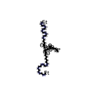 CC/C=C\C/C=C\C/C=C\C/C=C\C/C=C\CCCCCC(=O)O[C@H](COC(=O)CCC/C=C\C/C=C\C/C=C\C/C=C\C/C=C\CC)COP(=O)([O-])OCC[N+](C)(C)C